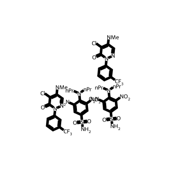 CCCN(CCC)c1c([N+](=O)[O-])cc(S(N)(=O)=O)cc1[N+](=O)[O-].CCCN(CCC)c1c([N+](=O)[O-])cc(S(N)(=O)=O)cc1[N+](=O)[O-].CNc1cnn(-c2cccc(C(F)(F)F)c2)c(=O)c1Cl.CNc1cnn(-c2cccc(C(F)(F)F)c2)c(=O)c1Cl